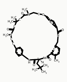 Cc1ccc2cc1C(=O)N[C@@H](CC(C)(C)C)C(=O)Nc1ccc(cc1)CCN(C)C(=O)CC(C)(C)CC(=O)N(C)CCOc1ccc(cc1)C(=O)NC2